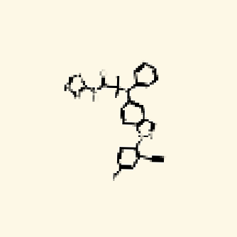 C#Cc1cc(F)ccc1-n1ncc2cc([C@H](c3ccccc3)C(C)(C)C(=O)Nc3nncs3)ccc21